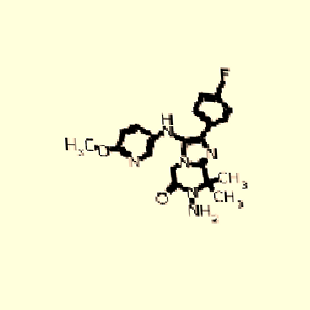 COc1ccc(Nc2c(-c3ccc(F)cc3)nc3n2CC(=O)N(N)C3(C)C)cn1